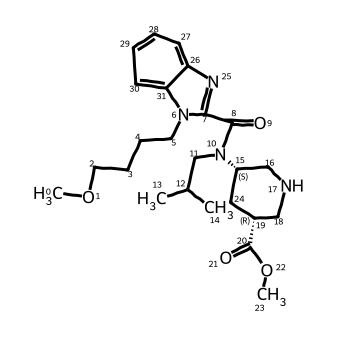 COCCCCn1c(C(=O)N(CC(C)C)[C@@H]2CNC[C@H](C(=O)OC)C2)nc2ccccc21